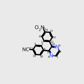 N#Cc1ccc(-c2nccnc2-c2ccc([N+](=O)[O-])cc2)cc1